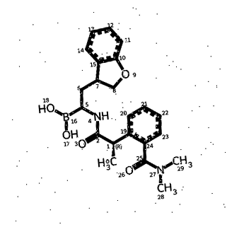 C[C@@H](C(=O)NC(CC1COc2ccccc21)B(O)O)c1ccccc1C(=O)N(C)C